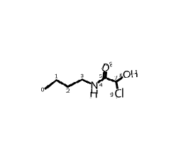 CCCCNC(=O)C(O)Cl